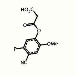 COc1cc(C#N)c(F)cc1OC(=O)CC(=O)O